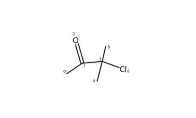 CC(=O)C(C)(C)Cl